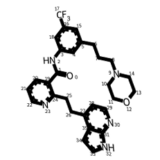 O=C(Nc1cc(CCCN2CCOCC2)cc(C(F)(F)F)c1)c1cccnc1CCc1ccnc2[nH]ccc12